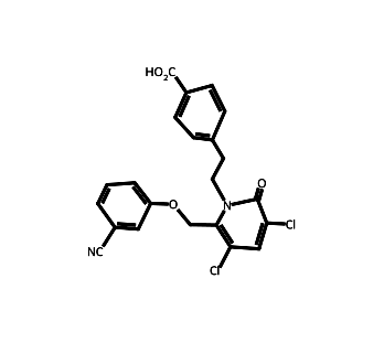 N#Cc1cccc(OCc2c(Cl)cc(Cl)c(=O)n2CCc2ccc(C(=O)O)cc2)c1